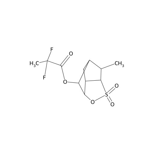 CC1C2CC3C(OS(=O)(=O)C13)C2OC(=O)C(C)(F)F